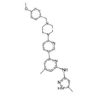 COc1ccc(CN2CCN(c3ccc(-c4cc(C)cc(Nc5cc(C)[nH]n5)n4)cn3)CC2)cc1